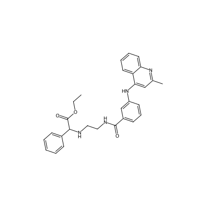 CCOC(=O)C(NCCNC(=O)c1cccc(Nc2cc(C)nc3ccccc23)c1)c1ccccc1